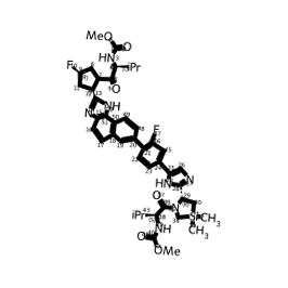 COC(=O)N[C@H](C(=O)C1C[C@H](F)C[C@H]1c1nc2ccc3cc(-c4ccc(-c5cnc([C@@H]6C[Si](C)(C)CN6C(=O)[C@@H](NC(=O)OC)C(C)C)[nH]5)cc4F)ccc3c2[nH]1)C(C)C